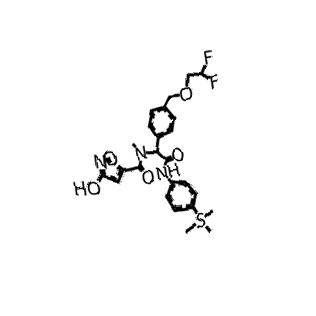 CN(C(=O)c1cc(O)no1)C(C(=O)Nc1ccc(S(C)(C)C)cc1)c1ccc(COCC(F)F)cc1